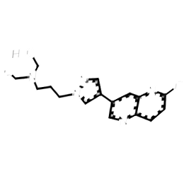 CCN(CC)CCCn1cc(-c2cnc3ccc(Cl)nc3c2)cn1